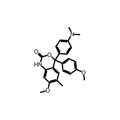 COc1ccc(C2(c3ccc(N(C)C)cc3)OC(=O)Nc3cc(OC)c(C)cc32)cc1